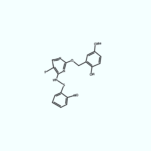 COc1ccc(O)c(COc2ncc(F)c(NSc3ccccc3N=O)n2)c1